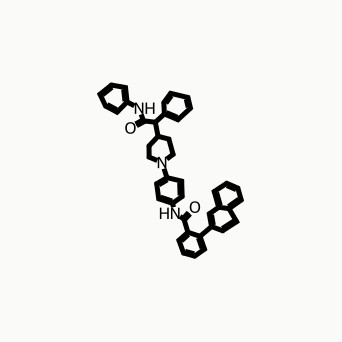 O=C(Nc1ccc(N2CCC(C(C(=O)Nc3ccccc3)c3ccccc3)CC2)cc1)c1ccccc1-c1ccc2ccccc2c1